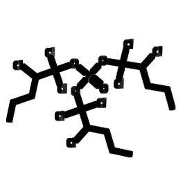 CCCC(Cl)C(Cl)(Cl)OP(=O)(OC(Cl)(Cl)C(Cl)CCC)OC(Cl)(Cl)C(Cl)CCC